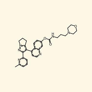 Cc1cccc(-c2nn3c(c2-c2ccnc4cc(OC(=O)NCCCN5CCOCC5)ccc24)CCC3)n1